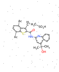 CC(=O)c1ccc(C(C)=O)c2c(C)c(C(=O)Nc3cc(C(C)(C)O)c4ccccc4n3)sc12.CS(=O)(=O)O